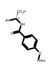 CCCCCCOc1ccc(C(=O)N[C@@H](C(=O)O)C(C)C)cc1